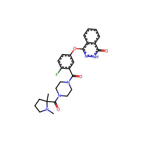 CN1CCCC1(C)C(=O)N1CCN(C(=O)c2cc(Oc3n[nH]c(=O)c4ccccc34)ccc2F)CC1